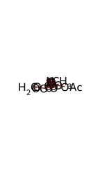 C=CC(=O)OCCCCCCOc1ccc(C(=O)Oc2ccc(OC(=O)c3ccc(OCCCCCCOC(C)=O)cc3)c(/C=N/N(c3nc4ccccc4s3)S(=O)(=O)c3ccc(C)cc3)c2)cc1